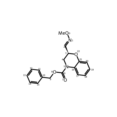 CON=C[C@@H]1CN(C(=O)OCc2ccccc2)c2ccccc2O1